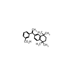 C=C(c1cccc(C(=O)O)c1)c1ccc2c(c1)C(C)(C)CCC2(C)C